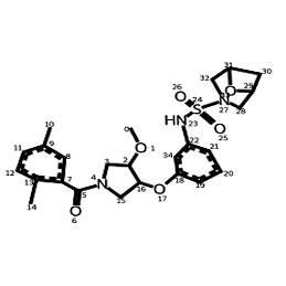 COC1CN(C(=O)c2cc(C)ccc2C)CC1Oc1cccc(NS(=O)(=O)N2CC3CC(C2)O3)c1